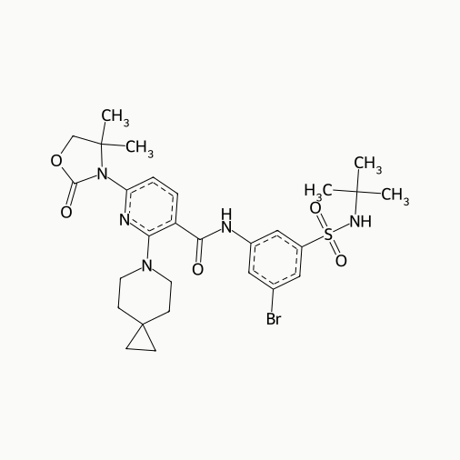 CC(C)(C)NS(=O)(=O)c1cc(Br)cc(NC(=O)c2ccc(N3C(=O)OCC3(C)C)nc2N2CCC3(CC2)CC3)c1